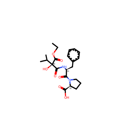 CCOC(=O)[C@](O)(C(=O)N[C@@H](Cc1ccccc1)C(=O)N1CCC[C@H]1C(=O)O)C(C)C